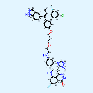 CC/C(=C(/c1ccc(OCCCOCCNc2ccc([C@H]3Nc4cc(F)cc5c(=O)[nH]nc(c45)[C@@H]3c3ncnn3C)cc2)cc1)c1ccc2[nH]ncc2c1)c1ccc(Cl)cc1F